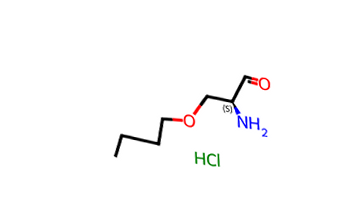 CCCCOC[C@H](N)C=O.Cl